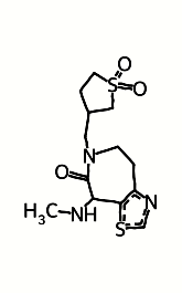 CNC1C(=O)N(CC2CCS(=O)(=O)C2)CCc2ncsc21